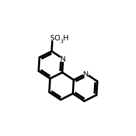 O=S(=O)(O)c1ccc2ccc3cccnc3c2n1